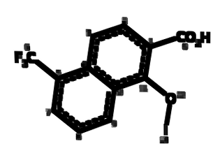 O=C(O)c1ccc2c(C(F)(F)F)cccc2c1OI